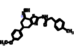 COc1ccc(C2C/C(=N/O)c3sc(NC(=O)Cc4ccc(C)cc4)nc3C2)cc1